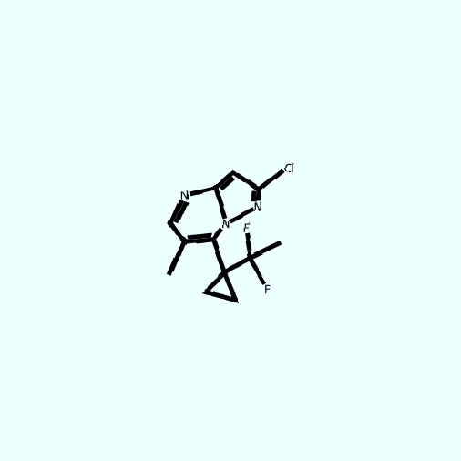 Cc1cnc2cc(Cl)nn2c1C1(C(C)(F)F)CC1